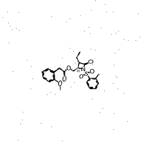 CCC1C(=O)N(S(=O)(=O)c2ccccc2C)[C@H]1COC(=O)Cc1ccccc1OC